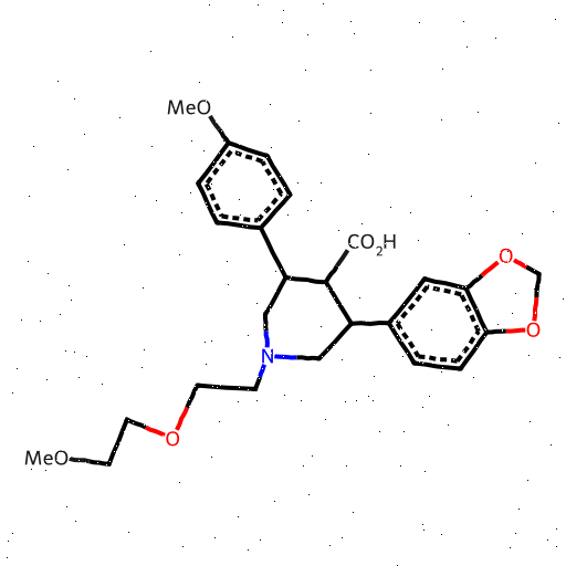 COCCOCCN1CC(c2ccc(OC)cc2)C(C(=O)O)C(c2ccc3c(c2)OCO3)C1